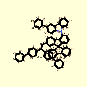 c1ccc(-c2ccc(C(Cc3ccc4c(c3)C3(c5ccccc5-c5ccccc53)c3cccc(-n5c6ccccc6c6cc(-c7ccccc7)ccc65)c3-4)c3ccc(-c4ccccc4)cc3)cc2)cc1